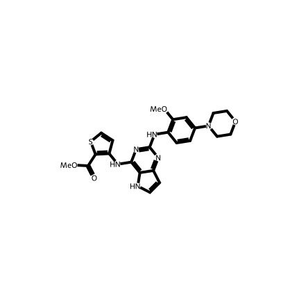 COC(=O)c1sccc1Nc1nc(Nc2ccc(N3CCOCC3)cc2OC)nc2cc[nH]c12